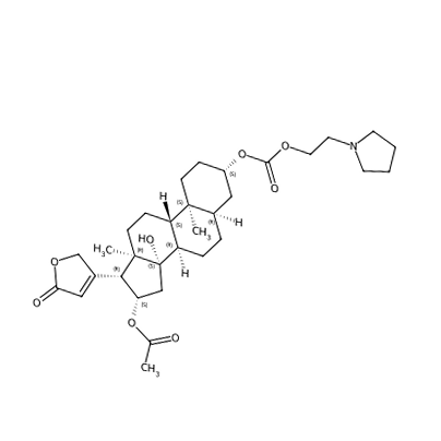 CC(=O)O[C@H]1C[C@]2(O)[C@@H]3CC[C@@H]4C[C@@H](OC(=O)OCCN5CCCC5)CC[C@]4(C)[C@H]3CC[C@]2(C)[C@H]1C1=CC(=O)OC1